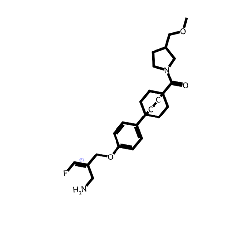 COCC1CCN(C(=O)C23CCC(c4ccc(OC/C(=C/F)CN)cc4)(CC2)CC3)C1